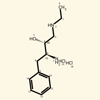 CCNC[C@@H](O)[C@@H](N)Cc1ccccc1.Cl.Cl